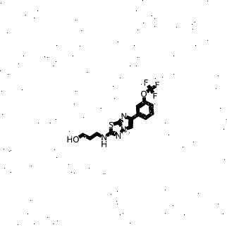 OCCCNc1nn2cc(-c3cccc(OC(F)(F)F)c3)nc2s1